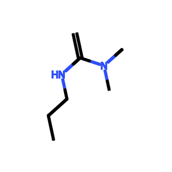 C=C(NCCC)N(C)C